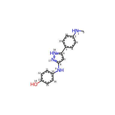 CNc1ccc(-c2cc(Nc3ccc(O)cc3)n[nH]2)cc1